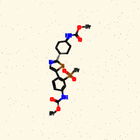 CC(C)OC(=O)Nc1ccc(-c2cnc([C@H]3CC[C@H](NC(=O)OC(C)C)CC3)s2)c(S(=O)(=O)C(C)C)c1